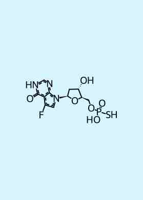 O=c1[nH]cnc2c1c(F)cn2[C@H]1C[C@H](O)[C@@H](COP(=O)(O)S)O1